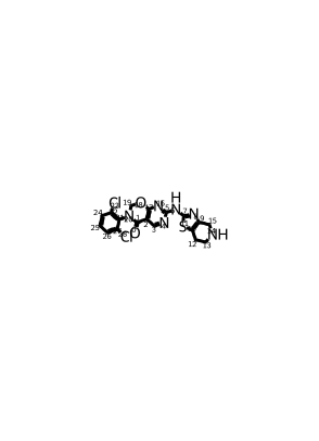 O=C1c2cnc(Nc3nc4c(s3)CCNC4)nc2OCN1c1c(Cl)cccc1Cl